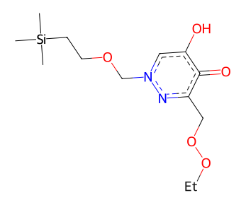 CCOOCc1nn(COCC[Si](C)(C)C)cc(O)c1=O